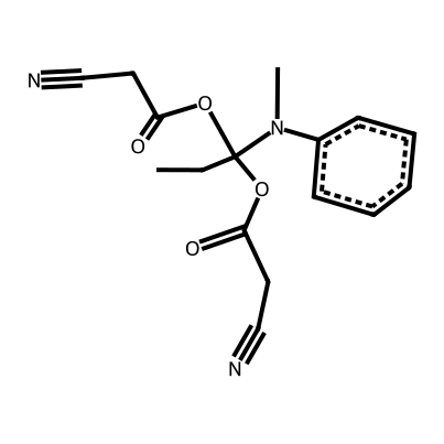 CCC(OC(=O)CC#N)(OC(=O)CC#N)N(C)c1ccccc1